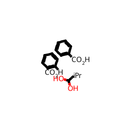 CC(C)C(O)O.O=C(O)c1ccccc1.O=C(O)c1ccccc1